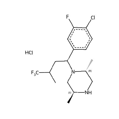 CC(CC(c1ccc(Cl)c(F)c1)N1C[C@H](C)NC[C@H]1C)C(F)(F)F.Cl